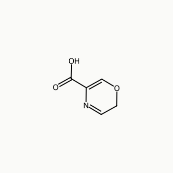 O=C(O)C1=COCC=N1